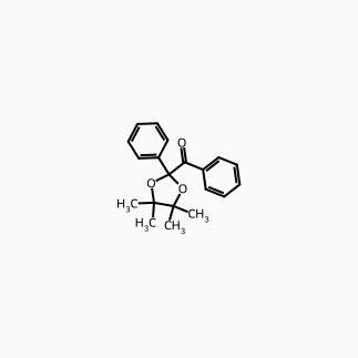 CC1(C)OC(C(=O)c2ccccc2)(c2ccccc2)OC1(C)C